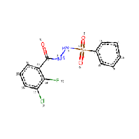 O=C(NNS(=O)(=O)c1ccccc1)c1cccc(Cl)c1F